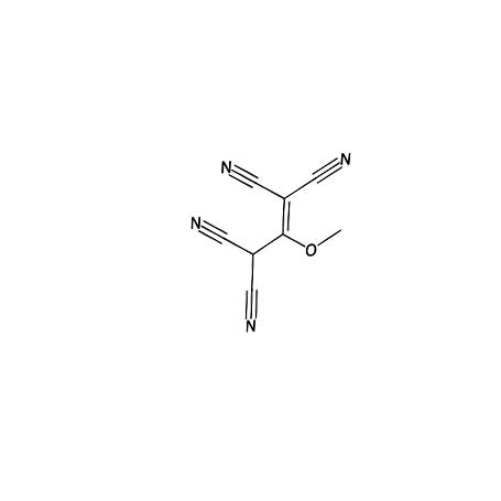 COC(=C(C#N)C#N)C(C#N)C#N